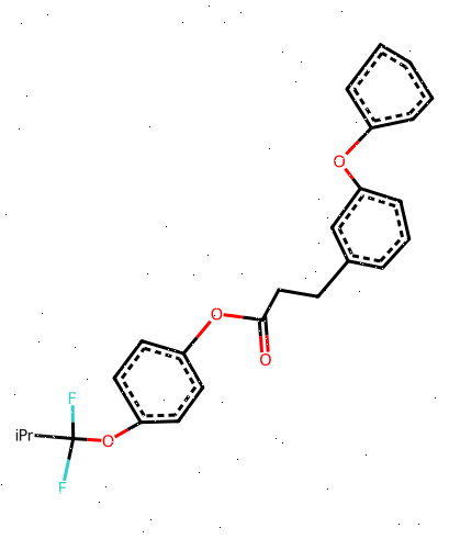 CC(C)C(F)(F)Oc1ccc(OC(=O)CCc2cccc(Oc3ccccc3)c2)cc1